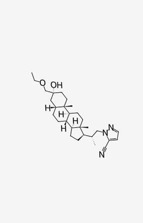 CCOC[C@@]1(O)CC[C@@]2(C)[C@H](CC[C@@H]3[C@@H]2CC[C@]2(C)[C@@H]([C@@H](C)Cn4nccc4C#N)CC[C@@H]32)C1